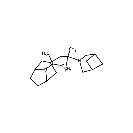 CC(C)N1C2CCC1CC(CC(C)(C)N1CC3CC(C3)C1)C2